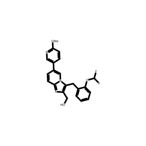 COc1ccc(-c2ccc3nc(CO)c(Cc4ccccc4OC(F)F)n3c2)cn1